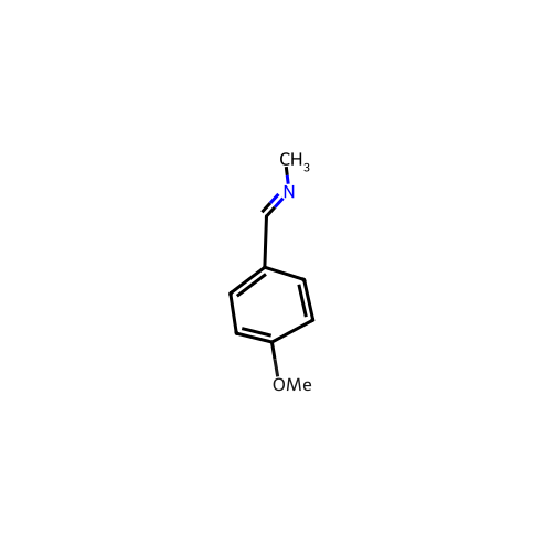 C/N=C/c1ccc(OC)cc1